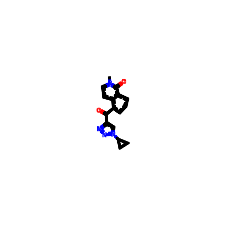 Cn1ccc2c(C(=O)c3cn(C4CC4)nn3)cccc2c1=O